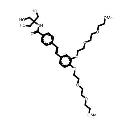 COCCOCCOCCOc1ccc(C=Cc2ccc(C(=O)NC(CO)(CO)CO)cc2)cc1OCCOCCOCCOC